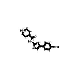 CC(C)(C)c1ccc(-c2csc(NC(=O)C3CCNCC3)n2)cc1